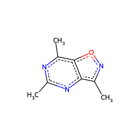 Cc1nc(C)c2onc(C)c2n1